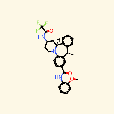 COc1ccccc1NC(=O)c1ccc2c(c1)[C@H](C)c1ccccc1[C@H]1C[C@H](NC(=O)C(F)(F)F)CCN21